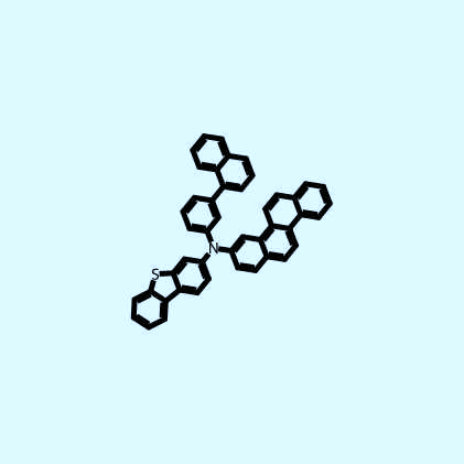 c1cc(-c2cccc3ccccc23)cc(N(c2ccc3c(c2)sc2ccccc23)c2ccc3ccc4c5ccccc5ccc4c3c2)c1